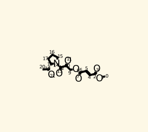 COC(=O)/C=C/C(=O)OCC(=O)C(=O)N1CCC[C@H]1C(C)=O